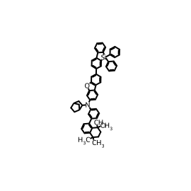 CC1(C)CCC(C)(C)c2c(-c3cccc(N(c4ccc5c(c4)oc4cc(-c6ccc7c(c6)[Si](c6ccccc6)(c6ccccc6)c6ccccc6-7)ccc45)C4CC5CCC4C5)c3)cccc21